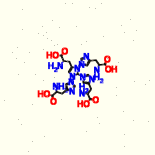 N[C@@H](CC1=CN(n2cnc(C[C@H](N)C(=O)O)c2)C(n2cnc(C[C@H](N)C(=O)O)c2)N1n1cnc(C[C@H](N)C(=O)O)c1)C(=O)O